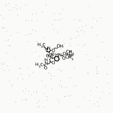 CCn1cc(S(=O)(=O)N2C[C@H](CNC(C)=O)Oc3ccc(NC(=O)OC(C)(C)C(F)(F)F)cc32)c(OCCO)n1